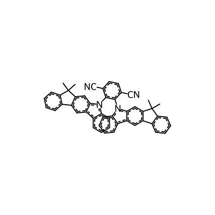 CC1(C)c2ccccc2-c2cc3c4ccccc4n(-c4c(C#N)ccc(C#N)c4-n4c5ccccc5c5cc6c(cc54)C(C)(C)c4ccccc4-6)c3cc21